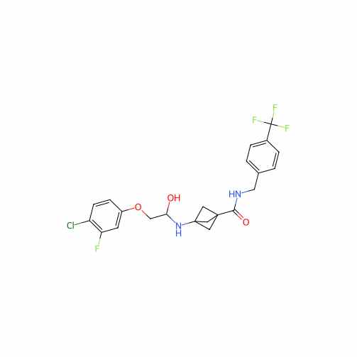 O=C(NCc1ccc(C(F)(F)F)cc1)C12CC(NC(O)COc3ccc(Cl)c(F)c3)(C1)C2